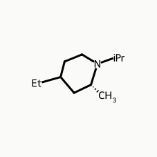 CCC1CCN(C(C)C)[C@H](C)C1